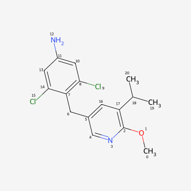 COc1ncc(Cc2c(Cl)cc(N)cc2Cl)cc1C(C)C